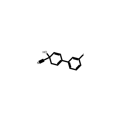 N#CC1(O)C=CC(c2cccc(I)c2)=CC1